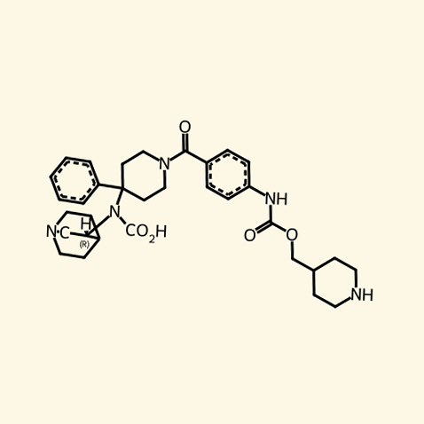 O=C(Nc1ccc(C(=O)N2CCC(c3ccccc3)(N(C(=O)O)[C@H]3CN4CCC3CC4)CC2)cc1)OCC1CCNCC1